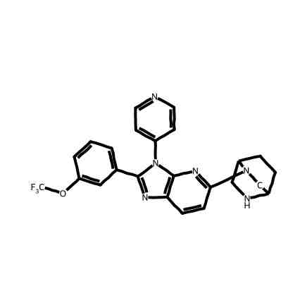 FC(F)(F)Oc1cccc(-c2nc3ccc(N4CC5CCC4CN5)nc3n2-c2ccncc2)c1